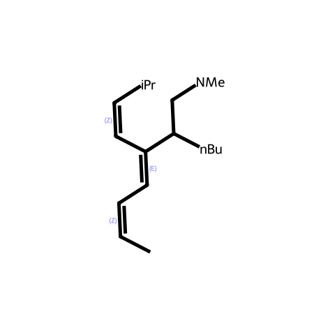 C\C=C/C=C(\C=C/C(C)C)C(CCCC)CNC